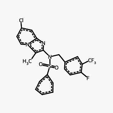 Cc1c(N(Cc2ccc(F)c(C(F)(F)F)c2)S(=O)(=O)c2ccccc2)nc2cc(Cl)ccn12